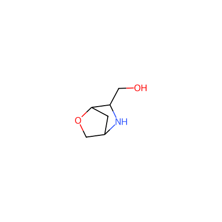 OCC1NC2COC1C2